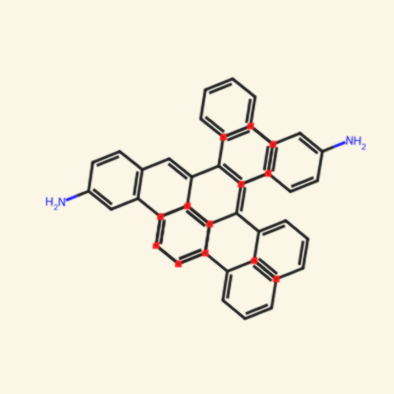 Nc1ccc(C=C(c2ccccc2)c2cccc(-c3ccccc3)c2C(=Cc2ccc(N)cc2-c2ccccc2)c2ccccc2)c(-c2ccccc2)c1